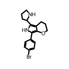 Brc1ccc(-c2[nH]c(C3CCCN3)c3c2OCCC3)cc1